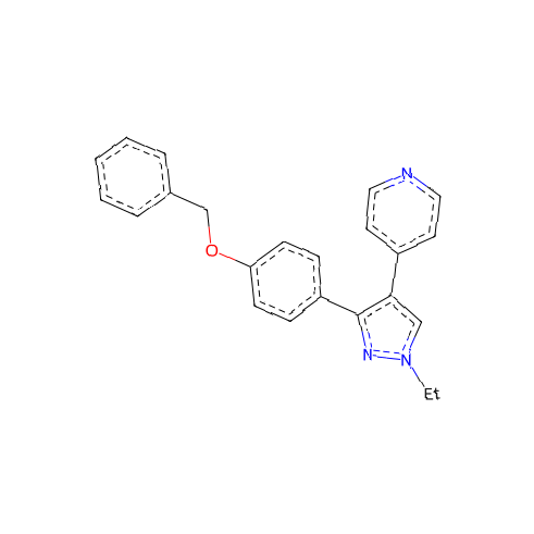 CCn1cc(-c2ccncc2)c(-c2ccc(OCc3ccccc3)cc2)n1